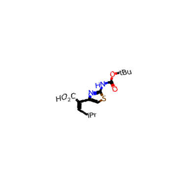 CC(C)/C=C(/C(=O)O)c1csc(NC(=O)OC(C)(C)C)n1